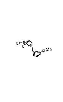 CCNC(=O)C1CCCN(CCc2cccc(OC)c2)C1